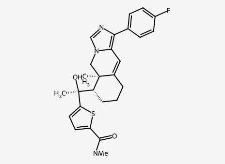 CNC(=O)c1ccc([C@@](C)(O)[C@H]2CCCC3=Cc4c(-c5ccc(F)cc5)ncn4C[C@@]32C)s1